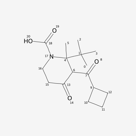 CC(C)(C)C1(C)C(C(=O)C2CCC2)C(=O)CCN1C(=O)O